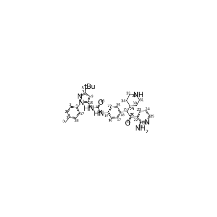 Cc1ccc(-n2nc(C(C)(C)C)cc2NC(=O)Nc2ccc(C(C(=O)c3cccnc3N)C3CCNCC3)cc2)cc1